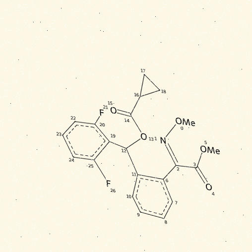 CON=C(C(=O)OC)c1ccccc1C(OC(=O)C1CC1)c1c(F)cccc1F